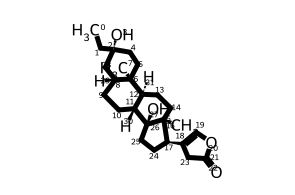 CC[C@@]1(O)CC[C@@]2(C)[C@H](CC[C@@H]3[C@@H]2CC[C@]2(C)[C@@H](C4=COC(=O)C4)CC[C@]32O)C1